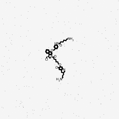 COc1cc2c(cc1OCCCCCC(=O)N1C[C@@H](CCl)c3c1cc(OCc1ccc(NC(=O)CCCCCN)cc1)c1ccccc31)N=CC(CCCN)C2